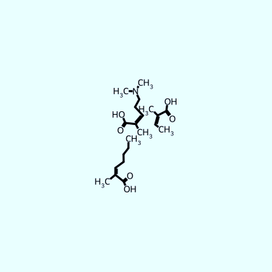 CC(=CCCN(C)C)C(=O)O.CC=C(C)C(=O)O.CCCCC=C(C)C(=O)O